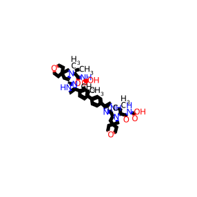 Cc1c(-c2ccc(-c3c[nH]c(C4CC5(CCOCC5)CN4C(C(=O)NC(=O)O)C(C)C)n3)cc2)ccc(-c2c[nH]c([C@@H]3CC4(CCOCC4)CN3[C@H](C(=O)NC(=O)O)C(C)C)n2)c1C